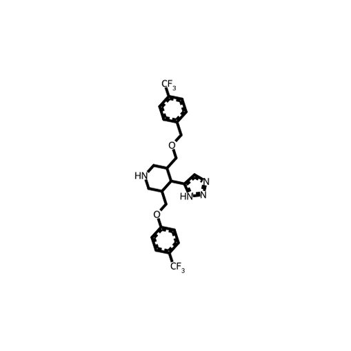 FC(F)(F)c1ccc(COCC2CNCC(COc3ccc(C(F)(F)F)cc3)C2c2cnn[nH]2)cc1